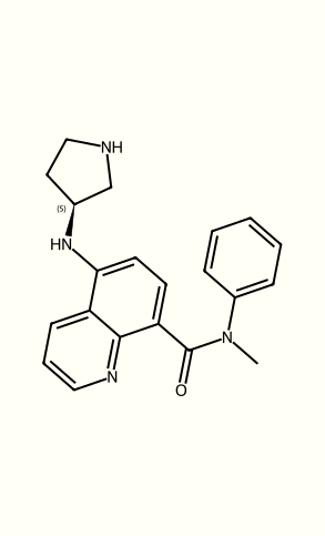 CN(C(=O)c1ccc(N[C@H]2CCNC2)c2cccnc12)c1ccccc1